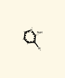 Brc1cc[c]nc1.[NaH]